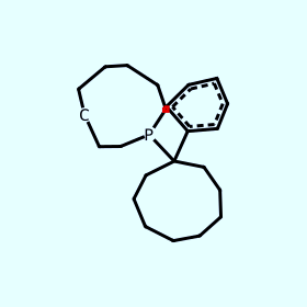 c1ccc(C2(P3CCCCCCCC3)CCCCCCCC2)cc1